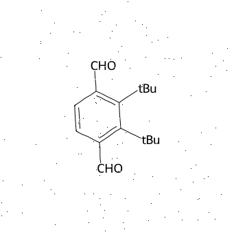 CC(C)(C)c1c(C=O)ccc(C=O)c1C(C)(C)C